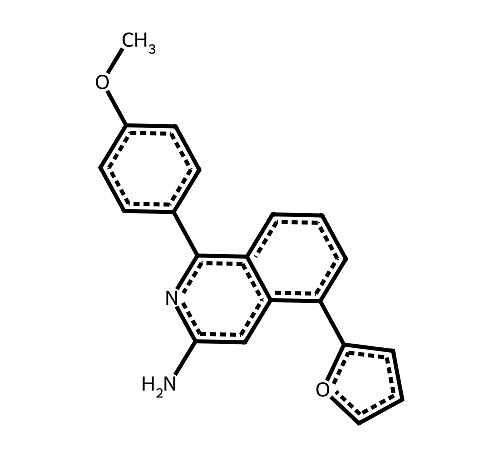 COc1ccc(-c2nc(N)cc3c(-c4ccco4)cccc23)cc1